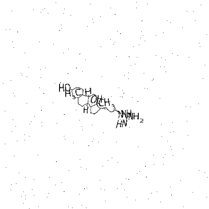 C[C@]12CCC(O)CC1CC[C@@H]1[C@H]2CC[C@]2(C)C(CC/C=N/NC(=N)N)CC[C@@]12O